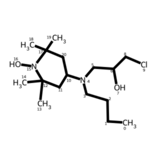 CCCCN(CC(O)CCl)C1CC(C)(C)N(O)C(C)(C)C1